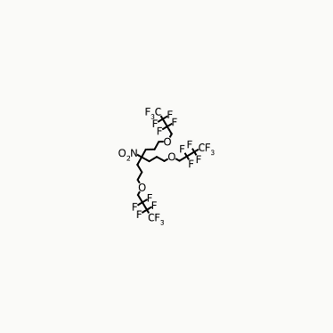 O=[N+]([O-])C(CCCOCC(F)(F)C(F)(F)C(F)(F)F)(CCCOCC(F)(F)C(F)(F)C(F)(F)F)CCCOCC(F)(F)C(F)(F)C(F)(F)F